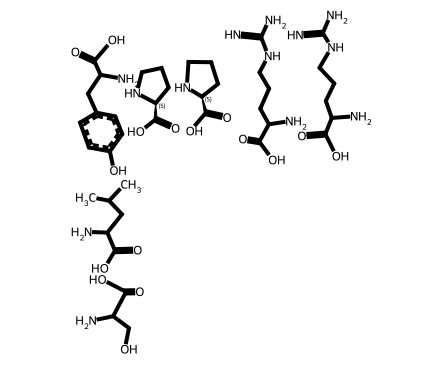 CC(C)CC(N)C(=O)O.N=C(N)NCCCC(N)C(=O)O.N=C(N)NCCCC(N)C(=O)O.NC(CO)C(=O)O.NC(Cc1ccc(O)cc1)C(=O)O.O=C(O)[C@@H]1CCCN1.O=C(O)[C@@H]1CCCN1